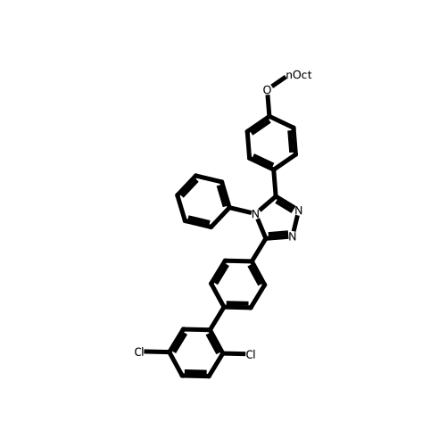 CCCCCCCCOc1ccc(-c2nnc(-c3ccc(-c4cc(Cl)ccc4Cl)cc3)n2-c2ccccc2)cc1